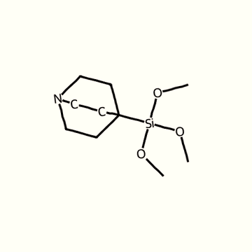 CO[Si](OC)(OC)C12CCN(CC1)CC2